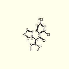 CSC(SC)=C(C(=O)c1ccc(Cl)cc1Cl)n1ccnc1